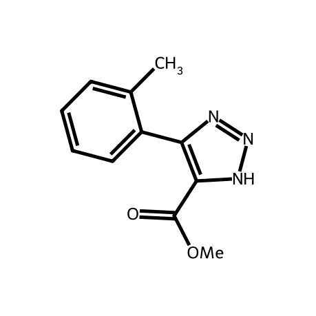 COC(=O)c1[nH]nnc1-c1ccccc1C